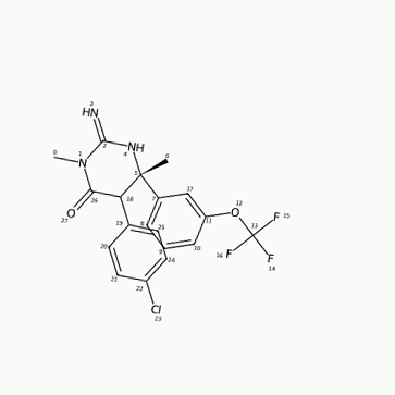 CN1C(=N)N[C@](C)(c2cccc(OC(F)(F)F)c2)C(c2ccc(Cl)cc2)C1=O